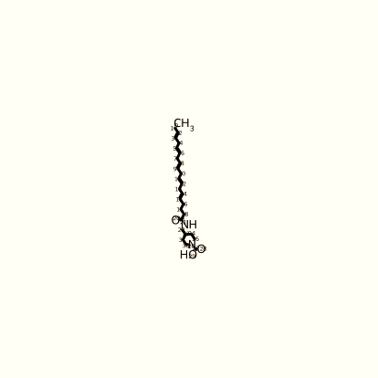 CCC=CCC=CCC=CCC=CCC=CCCCC(=O)NCC1CCN(C(=O)O)CC1